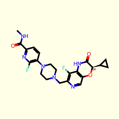 CNC(=O)c1ccc(N2CCN(Cc3ncc4c(c3F)NC(=O)[C@@H](C3CC3)O4)CC2)c(F)n1